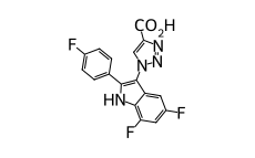 O=C(O)c1cn(-c2c(-c3ccc(F)cc3)[nH]c3c(F)cc(F)cc23)nn1